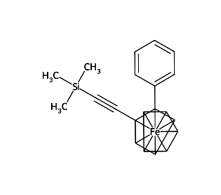 C[Si](C)(C)C#C[C]12[CH]3[CH]4[CH]5[C]1(c1ccccc1)[Fe]43521678[CH]2[CH]1[CH]6[CH]7[CH]28